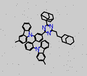 Cc1ccc2c(c1)c1ccccc1n2-c1ccccc1-c1ccc(-c2nc(CCC3CC4CCCC(C4)C3)nc(C34CC5CC(CC(C5)C3)C4)n2)cc1-n1c2ccccc2c2cc(C)ccc21